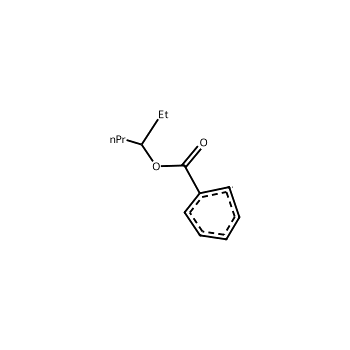 CCCC(CC)OC(=O)c1[c]cccc1